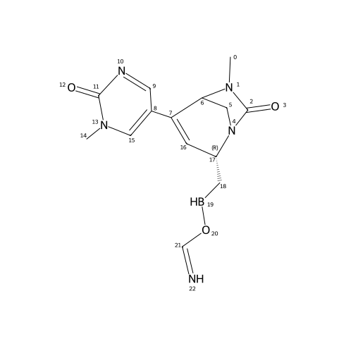 CN1C(=O)N2CC1C(c1cnc(=O)n(C)c1)=C[C@H]2CBOC=N